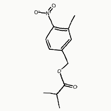 Cc1cc(COC(=O)C(C)C)ccc1[N+](=O)[O-]